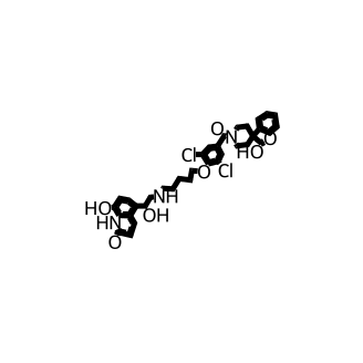 O=C(c1cc(Cl)c(OCCCCCNC[C@H](O)c2ccc(O)c3[nH]c(=O)ccc23)c(Cl)c1)N1CCC(C(=O)O)(c2ccccc2)CC1